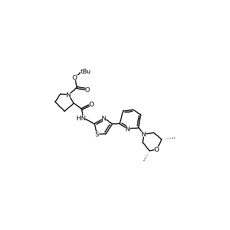 C[C@@H]1CN(c2cccc(-c3csc(NC(=O)C4CCCN4C(=O)OC(C)(C)C)n3)n2)C[C@H](C)O1